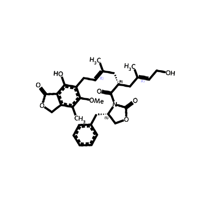 COc1c(C)c2c(c(O)c1C/C=C(\C)C[C@H](C/C(C)=C/CO)C(=O)N1C(=O)OC[C@@H]1Cc1ccccc1)C(=O)OC2